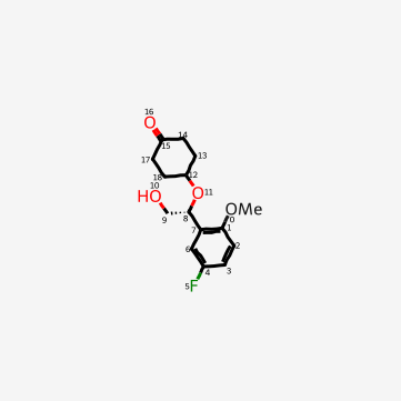 COc1ccc(F)cc1[C@H](CO)OC1CCC(=O)CC1